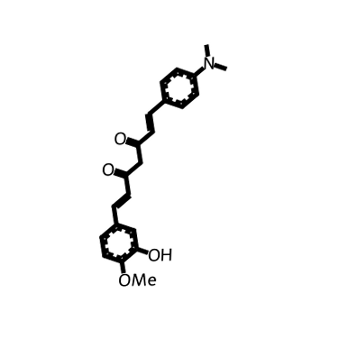 COc1ccc(C=CC(=O)CC(=O)C=Cc2ccc(N(C)C)cc2)cc1O